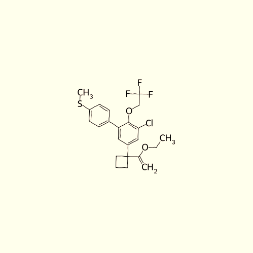 C=C(OCC)C1(c2cc(Cl)c(OCC(F)(F)F)c(-c3ccc(SC)cc3)c2)CCC1